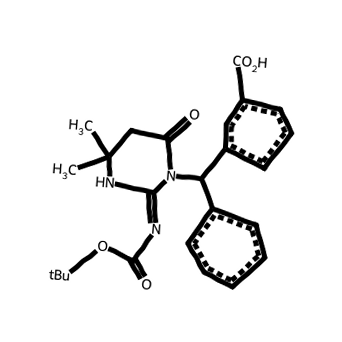 CC1(C)CC(=O)N(C(c2ccccc2)c2cccc(C(=O)O)c2)C(=NC(=O)OC(C)(C)C)N1